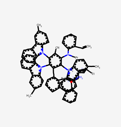 C=Cc1ccccc1N(c1c(C#N)c(-n2c3ccccc3c3cc(C)ccc32)c(-n2c3ccccc3c3cc(C)ccc32)c(-c2cccc(-c3ccccc3/C(C)=C/C=C\CC)c2/C(C)=C/N)c1-n1c2ccccc2c2cc(C)ccc21)C(C)C